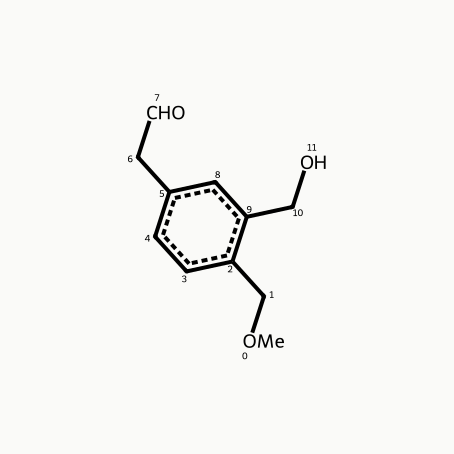 COCc1ccc(CC=O)cc1CO